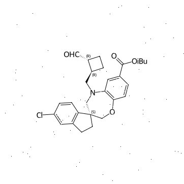 CC(C)COC(=O)c1ccc2c(c1)N(C[C@@H]1CC[C@H]1C=O)C[C@@]1(CCc3cc(Cl)ccc31)CO2